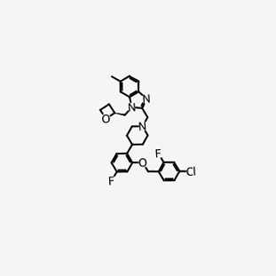 Cc1ccc2nc(CN3CCC(c4ccc(F)cc4OCc4ccc(Cl)cc4F)CC3)n(C[C@@H]3CCO3)c2c1